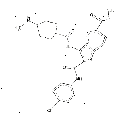 CNC1CCC(C(=O)Nc2c(C(=O)Nc3ccc(Cl)cn3)oc3ccc(C(=O)OC)cc23)CC1